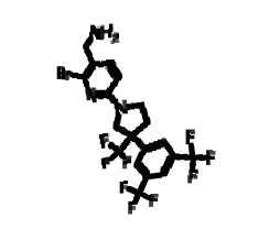 NCc1ccc(N2CCC(c3cc(C(F)(F)F)cc(C(F)(F)F)c3)(C(F)(F)F)C2)nc1Br